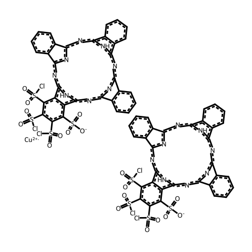 O=S(=O)([O-])c1c(S(=O)(=O)Cl)c(S(=O)(=O)Cl)c(S(=O)(=O)Cl)c2c3nc4nc(nc5[nH]c(nc6nc(nc([nH]3)c12)-c1ccccc1-6)c1ccccc51)-c1ccccc1-4.O=S(=O)([O-])c1c(S(=O)(=O)Cl)c(S(=O)(=O)Cl)c(S(=O)(=O)Cl)c2c3nc4nc(nc5[nH]c(nc6nc(nc([nH]3)c12)-c1ccccc1-6)c1ccccc51)-c1ccccc1-4.[Cu+2]